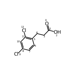 O=C(O)CCc1ccc(Cl)cc1Cl